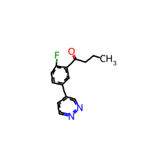 CCCC(=O)c1cc(-c2ccnnc2)ccc1F